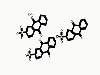 O=C1c2ccccc2C(=O)c2cc(S(=O)(=O)[O-])ccc21.O=C1c2ccccc2C(=O)c2cc(S(=O)(=O)[O-])ccc21.O=C1c2ccccc2C(=O)c2cc(S(=O)(=O)[O-])ccc21.[Fe+3]